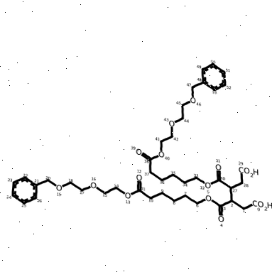 O=C(O)CC(C(=O)OCCCCCC(=O)OCCOCCOCc1ccccc1)C(CC(=O)O)C(=O)OCCCCCC(=O)OCCOCCOCc1ccccc1